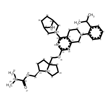 CC(C)c1ccccc1N1CCc2c(nc(OCC34CCCN3[C@@H](COC(=O)N(C)C)CC4)nc2N2CC3CCC(C2)N3)C1